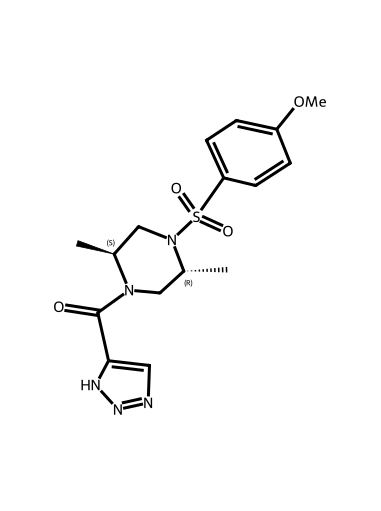 COc1ccc(S(=O)(=O)N2C[C@H](C)N(C(=O)c3cnn[nH]3)C[C@H]2C)cc1